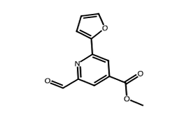 COC(=O)c1cc(C=O)nc(-c2ccco2)c1